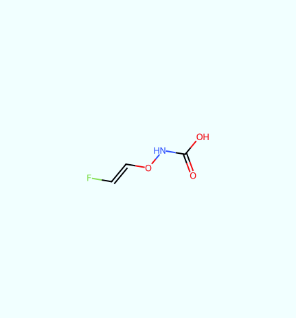 O=C(O)NOC=CF